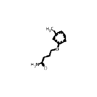 Cc1[c]ccc(OCCCC(N)=O)c1